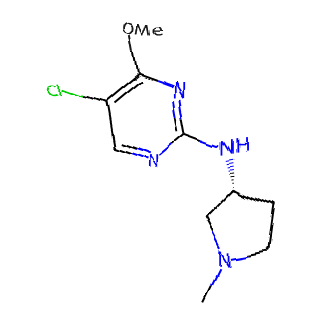 COc1nc(N[C@@H]2CCN(C)C2)ncc1Cl